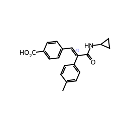 Cc1ccc(/C(=C\c2ccc(C(=O)O)cc2)C(=O)NC2CC2)cc1